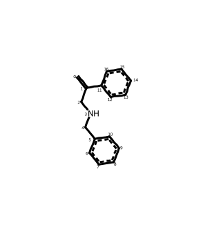 C=C(CNCc1ccccc1)c1ccccc1